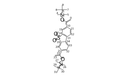 C=C(O[Si](C)(C)C(C)(C)C)c1ccc2c(c1)S(=O)(=O)c1cc(C(=C)O[Si](C)(C)C(C)(C)C)ccc1-2